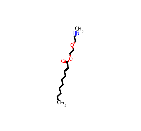 CCCCCCC/C=C/C(=O)OCCOCCNC